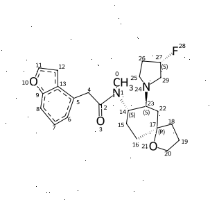 CN(C(=O)Cc1cccc2occc12)[C@H]1CC[C@@]2(CCCO2)C[C@@H]1N1CC[C@H](F)C1